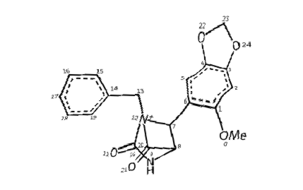 COc1cc2c(cc1C1C3NC(=O)[N+]1(Cc1ccccc1)C3=O)OCO2